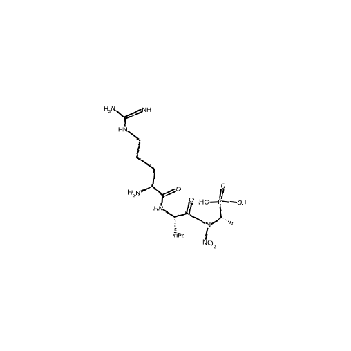 CCC[C@H](NC(=O)[C@@H](N)CCCNC(=N)N)C(=O)N([C@@H](C)P(=O)(O)O)[N+](=O)[O-]